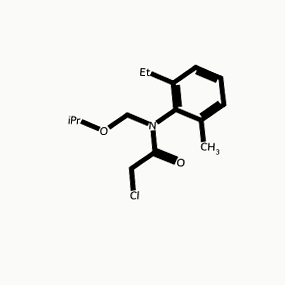 CCc1cccc(C)c1N(COC(C)C)C(=O)CCl